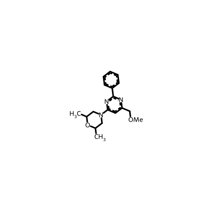 COCc1cc(N2CC(C)OC(C)C2)nc(-c2ccccc2)n1